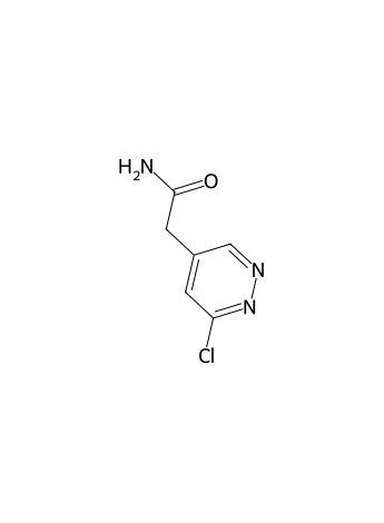 NC(=O)Cc1cnnc(Cl)c1